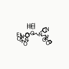 CCN1C(=O)C(C)(C)C(=O)N(C)c2cc(OCCCN(CCN(C)C(=O)c3ccco3)Cc3ccncc3)ccc21.Cl.Cl